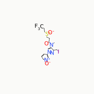 CN(C(=O)CC[S+]([O-])CCC(F)(F)F)c1cn(-c2ccc[n+]([O-])c2)nc1CI